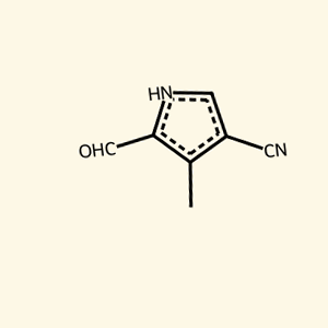 Cc1c(C#N)c[nH]c1C=O